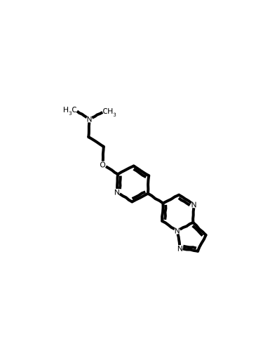 CN(C)CCOc1ccc(-c2cnc3ccnn3c2)cn1